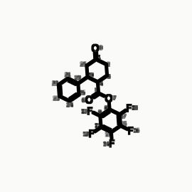 O=C1CCC(C(=O)Oc2c(F)c(F)c(F)c(F)c2F)C(c2ccccc2)C1